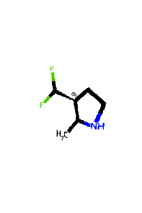 CC1NCC[C@@H]1C(F)F